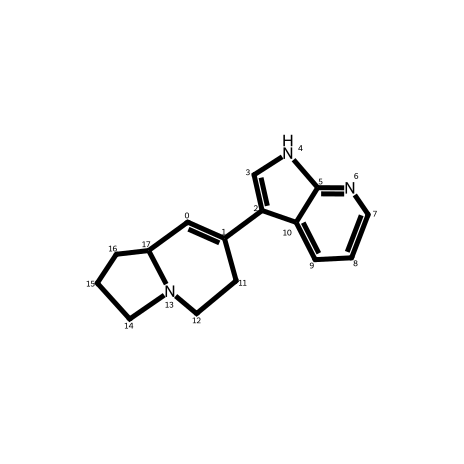 C1=C(c2c[nH]c3ncccc23)CCN2CCCC12